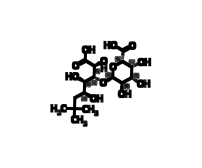 CC(C)(C)C[C@H](O)[C@@H](O)[C@@H](O[C@H]1O[C@H](C(=O)O)[C@H](O)[C@H](O)[C@H]1O)[C@H](O)C(=O)O